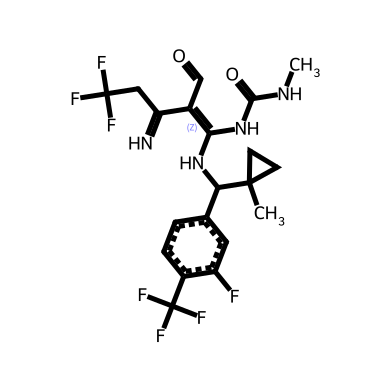 CNC(=O)N/C(NC(c1ccc(C(F)(F)F)c(F)c1)C1(C)CC1)=C(\C=O)C(=N)CC(F)(F)F